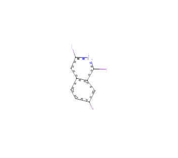 Ic1ccc2cc(I)nc(I)c2c1